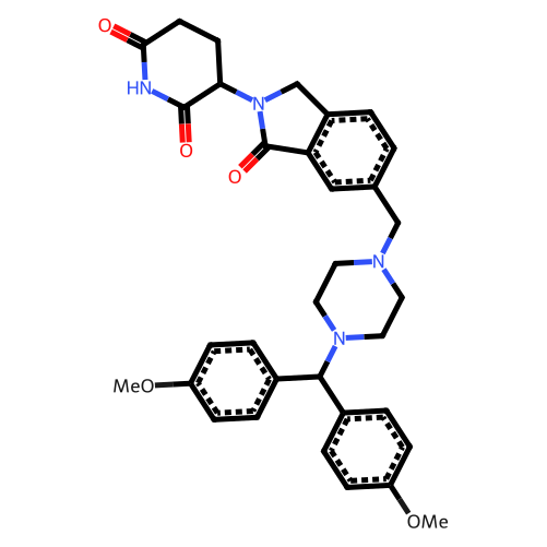 COc1ccc(C(c2ccc(OC)cc2)N2CCN(Cc3ccc4c(c3)C(=O)N(C3CCC(=O)NC3=O)C4)CC2)cc1